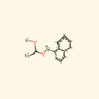 CCOC(CC)O[SiH2]c1cccc2ccccc12